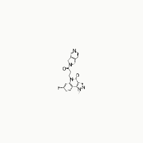 Cn1ncc2c(=O)n(CCC(=O)N3Cc4ccncc4C3)c3cc(F)ccc3c21